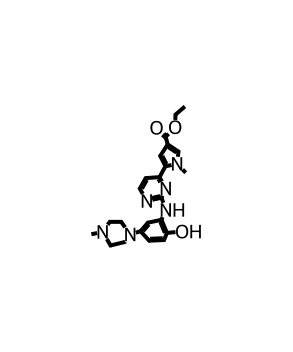 CCOC(=O)c1cc(-c2ccnc(Nc3cc(N4CCN(C)CC4)ccc3O)n2)n(C)c1